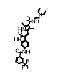 CCN(CC)CCNC(=O)c1c(C)[nH]c(C=C2C(=O)Nc3cc(NC(=O)c4cccc(C(F)(F)F)c4)ccc32)c1C